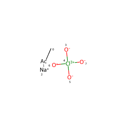 CC(C)=O.[Na+].[O-][Cl+3]([O-])([O-])[O-]